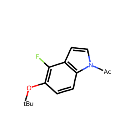 CC(=O)n1ccc2c(F)c(OC(C)(C)C)ccc21